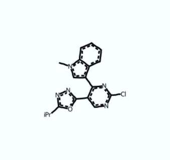 CC(C)c1nnc(-c2cnc(Cl)nc2-c2cn(C)c3ccccc23)o1